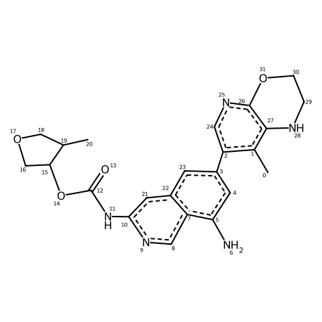 Cc1c(-c2cc(N)c3cnc(NC(=O)OC4COCC4C)cc3c2)cnc2c1NCCO2